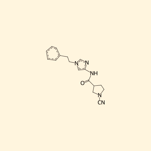 N#CN1CCC(C(=O)Nc2cn(CCc3ccccc3)cn2)C1